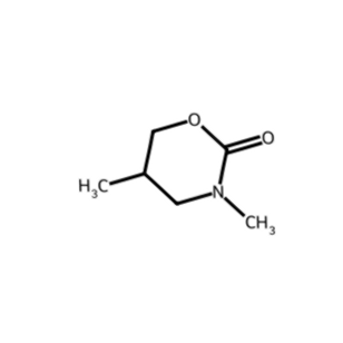 CC1COC(=O)N(C)C1